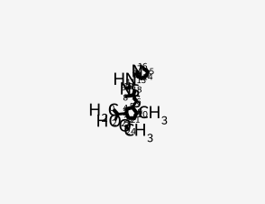 C=C(O)c1cc(Sc2cnc(Nc3ccccn3)s2)c(C)cc1OC